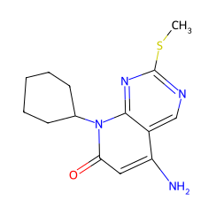 CSc1ncc2c(N)cc(=O)n(C3CCCCC3)c2n1